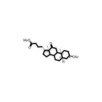 COC(=O)CCC[C@H]1CCC2C3CC[C@@H]4C[C@H](OC(C)=O)CC[C@]4(C)C3CC(=O)[C@@]21C